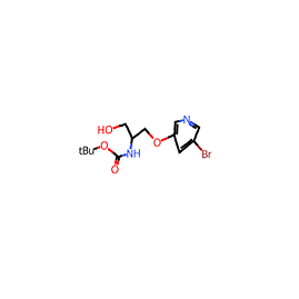 CC(C)(C)OC(=O)NC(CO)COc1cncc(Br)c1